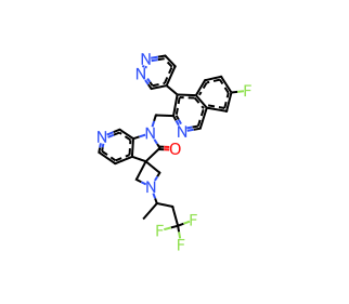 CC(CC(F)(F)F)N1CC2(C1)C(=O)N(Cc1ncc3cc(F)ccc3c1-c1ccnnc1)c1cnccc12